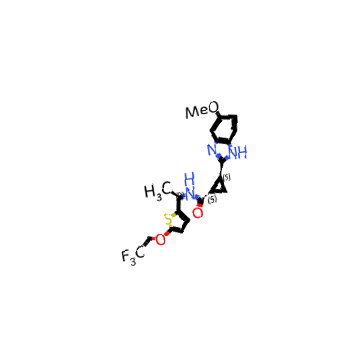 COc1ccc2[nH]c([C@H]3C[C@@H]3C(=O)N[C@H](C)c3ccc(OCC(F)(F)F)s3)nc2c1